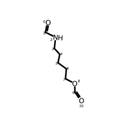 O=[C]NCCCCCOC=O